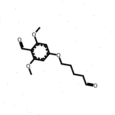 COc1cc(OCCCCC=O)cc(OC)c1C=O